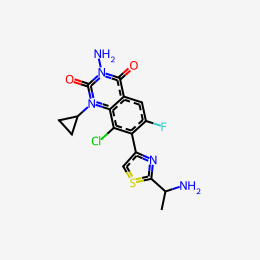 CC(N)c1nc(-c2c(F)cc3c(=O)n(N)c(=O)n(C4CC4)c3c2Cl)cs1